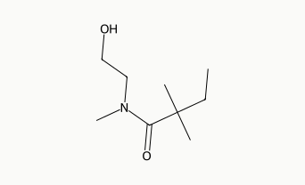 CCC(C)(C)C(=O)N(C)CCO